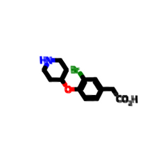 O=C(O)Cc1ccc(OC2CCNCC2)c(Br)c1